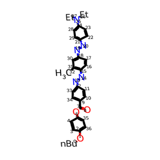 CCCCOc1ccc(OC(=O)c2ccc(N=Nc3ccc(N=Nc4ccc(N(CC)CC)cc4)cc3C)cc2)cc1